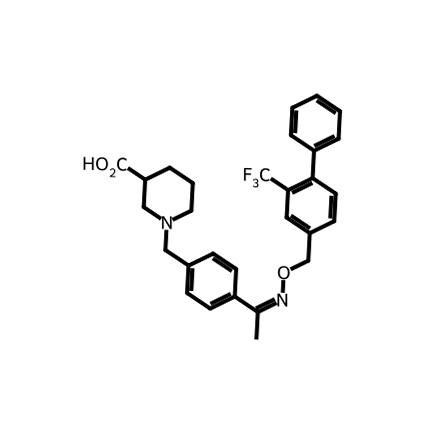 CC(=NOCc1ccc(-c2ccccc2)c(C(F)(F)F)c1)c1ccc(CN2CCCC(C(=O)O)C2)cc1